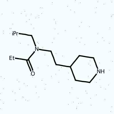 CCC(=O)N(CCC1CCNCC1)CC(C)C